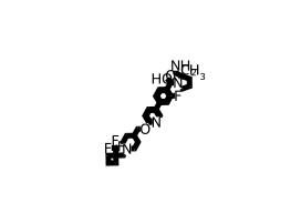 C[C@@]1(C(N)=O)CCCN1C(O)c1ccc(-c2ccc(OCC3CCN(CC4(C(F)(F)F)CCC4)CC3)nc2)cc1F